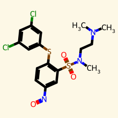 CN(C)CCN(C)S(=O)(=O)c1cc(N=O)ccc1Sc1cc(Cl)cc(Cl)c1